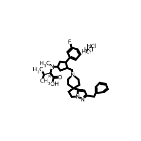 CC(C)[C@H](C(=O)O)N(C)C1CC(CN2CCC3(CC2)CCn2nc(Cc4ccccc4)cc23)C(c2cccc(F)c2)C1.Cl.Cl.Cl